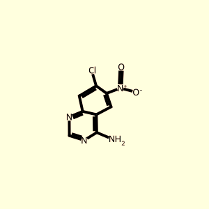 Nc1ncnc2cc(Cl)c([N+](=O)[O-])cc12